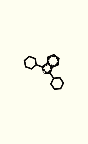 c1ccc2c(C3CCCCC3)sc(C3CCCCC3)c2c1